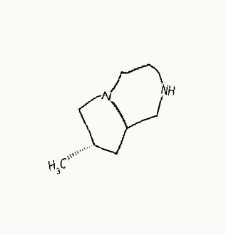 C[C@H]1CC2CNCCN2C1